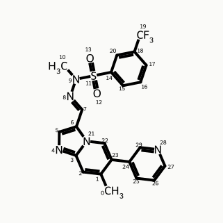 Cc1cc2ncc(C=NN(C)S(=O)(=O)c3cccc(C(F)(F)F)c3)n2cc1-c1cccnc1